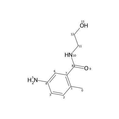 Cc1ccc(N)cc1C(=O)NCCO